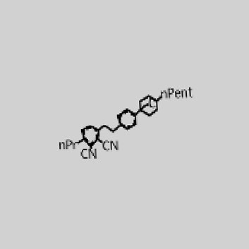 CCCCCC12CCC(c3ccc(CCc4ccc(CCC)c(C#N)c4C#N)cc3)(CC1)CC2